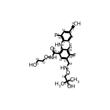 C#Cc1ccc(Nc2c(C(=O)NOCCO)cc(CNOCC(C)(C)O)c(F)c2F)c(F)c1